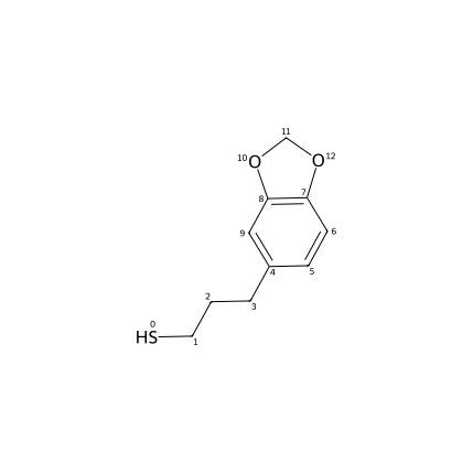 SCCCc1ccc2c(c1)OCO2